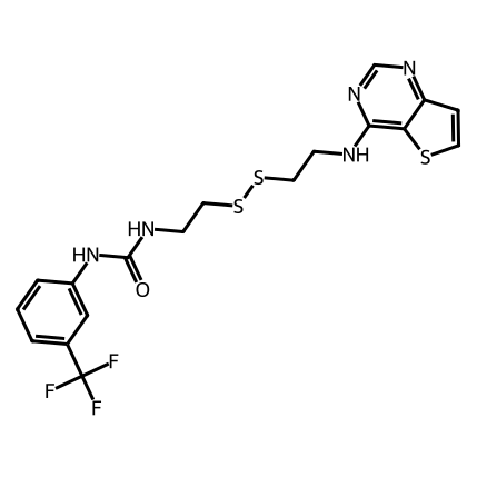 O=C(NCCSSCCNc1ncnc2ccsc12)Nc1cccc(C(F)(F)F)c1